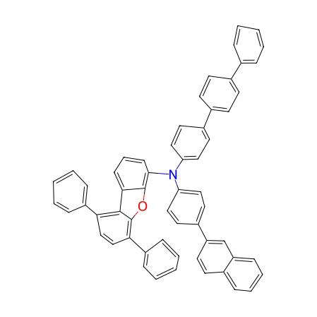 c1ccc(-c2ccc(-c3ccc(N(c4ccc(-c5ccc6ccccc6c5)cc4)c4cccc5c4oc4c(-c6ccccc6)ccc(-c6ccccc6)c45)cc3)cc2)cc1